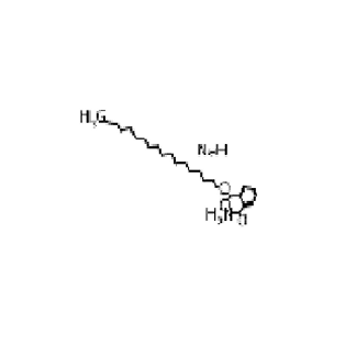 CCCCCCCCCCCCCCCCCCOC(=O)c1ccccc1C(N)=O.[NaH]